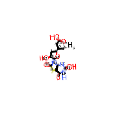 CCC(CC(=O)O)C1CC(O)C(n2c(=O)sc3c(=O)[nH]c(O)nc32)O1